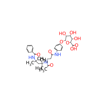 CC(=O)N(CCC(=O)Nc1ccc(OC2OC(C(=O)O)C(O)C(O)C2O)cc1)C(C)(C)CC(C)(C)NC(=O)c1ccccc1